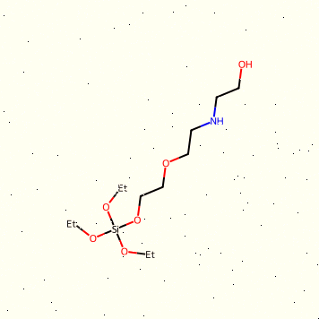 CCO[Si](OCC)(OCC)OCCOCCNCCO